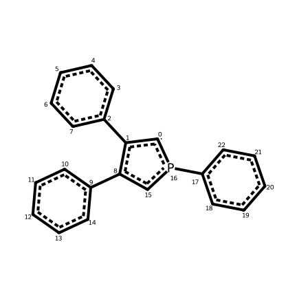 [c]1c(-c2ccccc2)c(-c2ccccc2)cp1-c1ccccc1